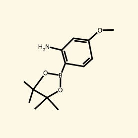 COc1ccc(B2OC(C)(C)C(C)(C)O2)c(N)c1